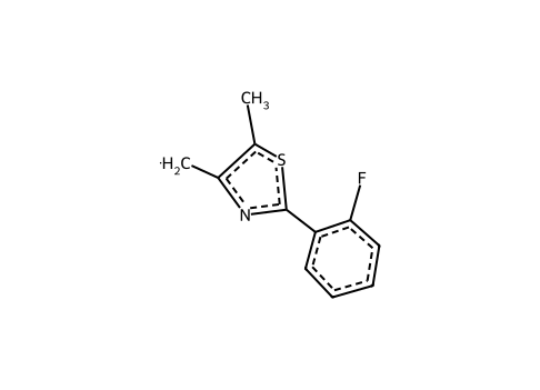 [CH2]c1nc(-c2ccccc2F)sc1C